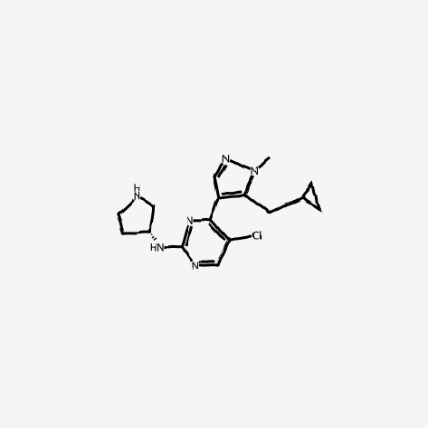 Cn1ncc(-c2nc(N[C@@H]3CCNC3)ncc2Cl)c1CC1CC1